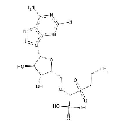 CCCS(=O)(=O)C(OC[C@H]1O[C@@H](n2cnc3c(N)nc(Cl)nc32)[C@H](O)[C@H]1O)P(=O)(O)O